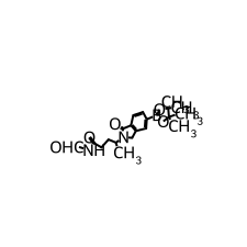 CC(CCC(=O)NC=O)N1Cc2cc(B3OC(C)(C)C(C)(C)O3)ccc2C1=O